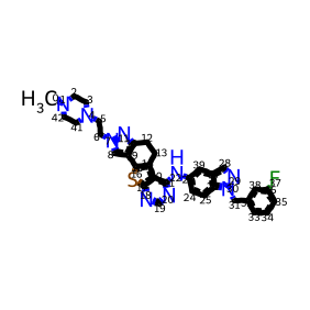 CN1CCN(CCn2cc3c(n2)CCc2c-3sc3ncnc(Nc4ccc5c(cnn5Cc5cccc(F)c5)c4)c23)CC1